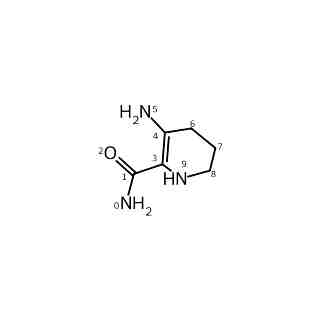 NC(=O)C1=C(N)CCCN1